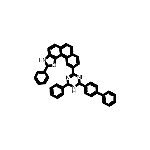 c1ccc(-c2ccc(C3NC(c4ccc5ccc6ccc7c(c6c5c4)OC(c4ccccc4)N7)=NC(c4ccccc4)N3)cc2)cc1